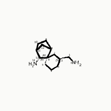 NC[C@H]1CCC[C@@]2(C1)C1CCC(C1)[C@H]2N